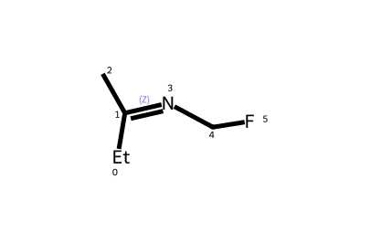 CC/C(C)=N\CF